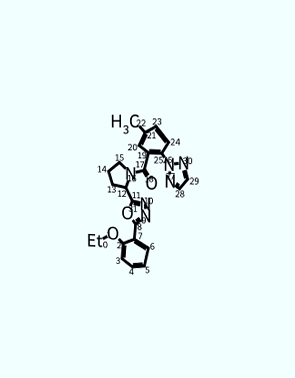 CCOc1ccccc1-c1nnc(C2CCCN2C(=O)c2cc(C)ccc2-n2nccn2)o1